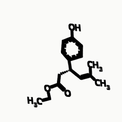 CCOC(=O)C[C@@H](C=C(C)C)c1ccc(O)cc1